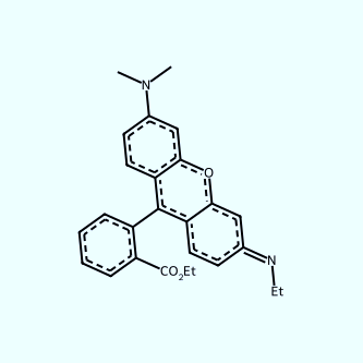 CC/N=c1\ccc2c(-c3ccccc3C(=O)OCC)c3ccc(N(C)C)cc3oc-2c1